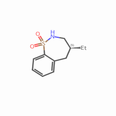 CC[C@@H]1CNS(=O)(=O)c2ccccc2C1